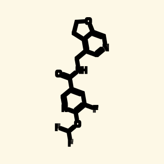 O=C(NCc1cncc2c1CCO2)c1cnc(OC(F)F)c(F)c1